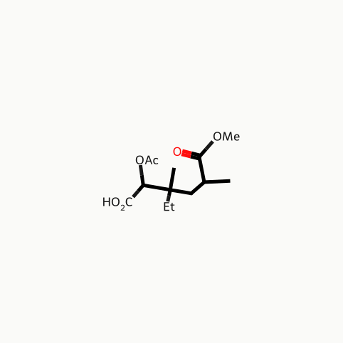 CCC(C)(CC(C)C(=O)OC)C(OC(C)=O)C(=O)O